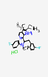 Cc1[nH]c2c(C(Cc3cccc(F)c3)N(C)c3ccc(F)cc3)nccc2c1C.Cl